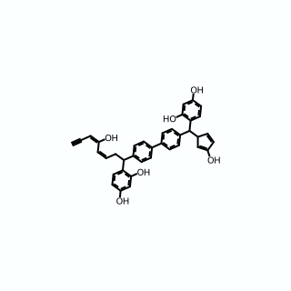 C#C/C=C(O)\C=C/CC(c1ccc(-c2ccc(C(c3ccc(O)cc3O)C3C=CC(O)=C3)cc2)cc1)c1ccc(O)cc1O